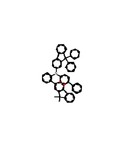 CC1(C)c2ccccc2-c2ccc(-c3ccccc3N(c3ccc(-c4ccccc4)cc3)c3ccc4c(c3)C(c3ccccc3)(c3ccccc3)c3ccccc3-4)cc21